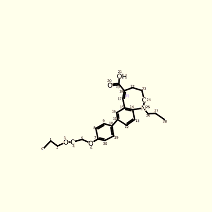 CCCOCCOc1ccc(-c2ccc3c(c2)/C=C(/C(=O)O)CCCN3CCC)cc1